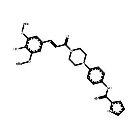 CCCCOc1cc(C=CC(=O)N2CCN(c3ccc(NC(=N)c4ccc[nH]4)cc3)CC2)cc(OCCCC)c1O